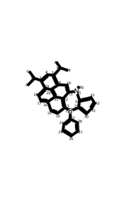 CC(C)c1cc(C(C)C)c2cc3c4c(ccc5ccc1c2c54)B(c1ccccc1)c1ccccc1N3C